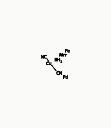 B.N#[C][Cu][C]#N.[Fe].[Mn].[Pd]